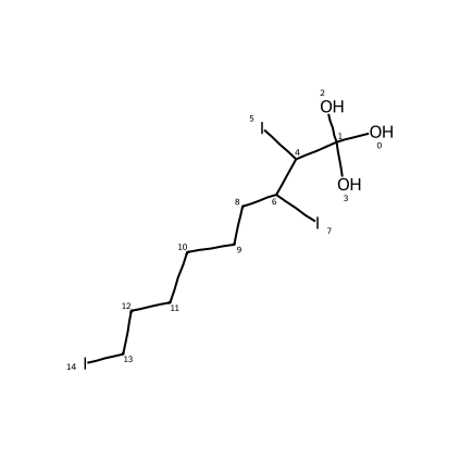 OC(O)(O)C(I)C(I)CCCCCCI